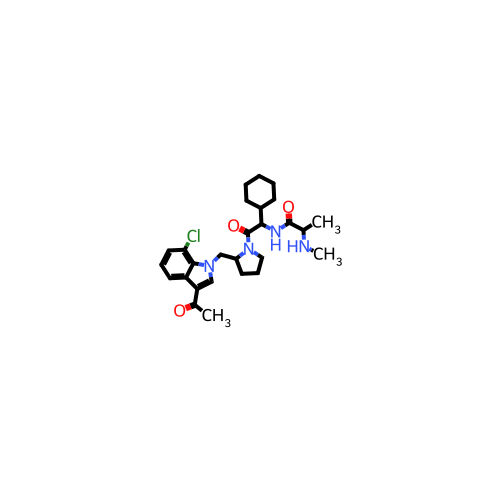 CNC(C)C(=O)NC(C(=O)N1CCCC1Cn1cc(C(C)=O)c2cccc(Cl)c21)C1CCCCC1